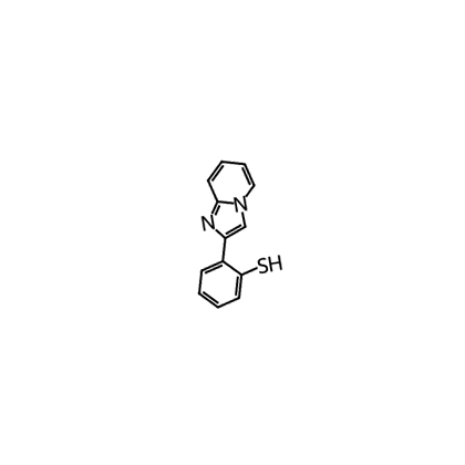 Sc1ccccc1-c1cn2ccccc2n1